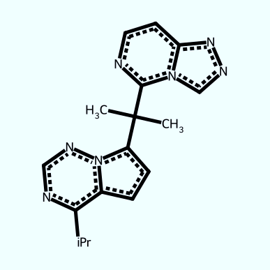 CC(C)c1ncnn2c(C(C)(C)c3nccc4nncn34)ccc12